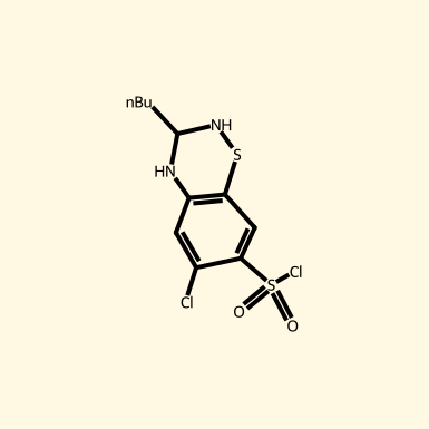 CCCCC1NSc2cc(S(=O)(=O)Cl)c(Cl)cc2N1